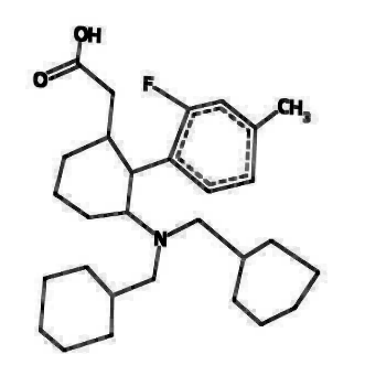 Cc1ccc(C2C(CC(=O)O)CCCC2N(CC2CCCCC2)CC2CCCCC2)c(F)c1